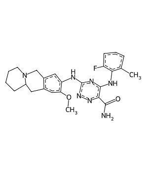 COc1cc2c(cc1Nc1nnc(C(N)=O)c(Nc3c(C)cccc3F)n1)CN1CCCCC1C2